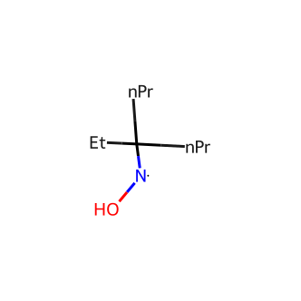 CCCC(CC)(CCC)[N]O